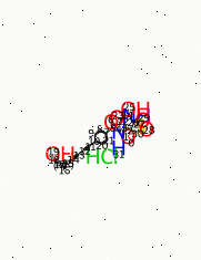 COC1(C(NC(=O)c2ccc(C#CC#C[C@@H]3C[C@H]3CO)cc2)C(=O)NO)CS(=O)(=O)C1.Cl